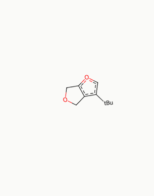 CC(C)(C)c1coc2c1COC2